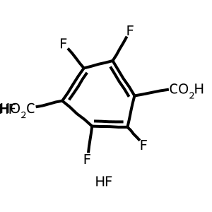 F.F.O=C(O)c1c(F)c(F)c(C(=O)O)c(F)c1F